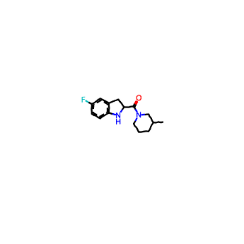 CC1CCCN(C(=O)C2Cc3cc(F)ccc3N2)C1